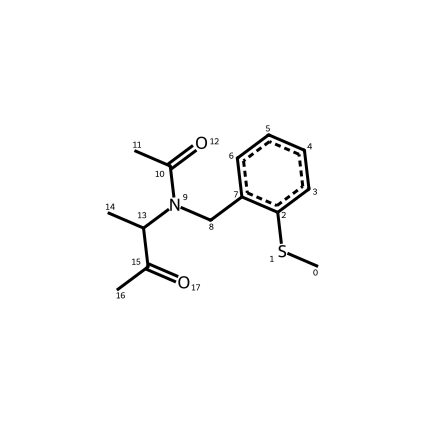 CSc1ccccc1CN(C(C)=O)C(C)C(C)=O